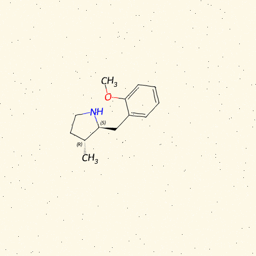 COc1ccccc1C[C@@H]1NCC[C@H]1C